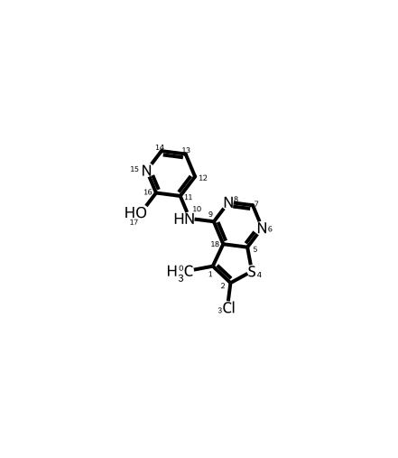 Cc1c(Cl)sc2ncnc(Nc3cccnc3O)c12